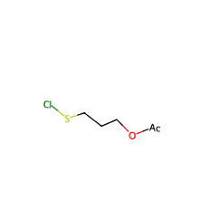 CC(=O)OCCCSCl